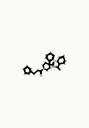 CC(NC(=O)C1(c2ccccc2)CCN(C(=O)CCc2ccccc2)CC1)C1C=CC=CC1